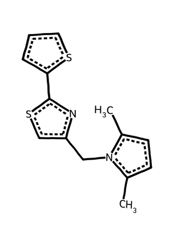 Cc1ccc(C)n1Cc1csc(-c2cccs2)n1